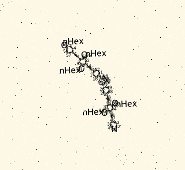 CCCCCCOc1ccc(C#Cc2cc(OCCCCCC)c(C#Cc3ccc(-c4nnc(-c5ccc(C#Cc6cc(OCCCCCC)c(C#Cc7ccncc7)cc6OCCCCCC)cc5)s4)cc3)cc2OCCCCCC)cc1